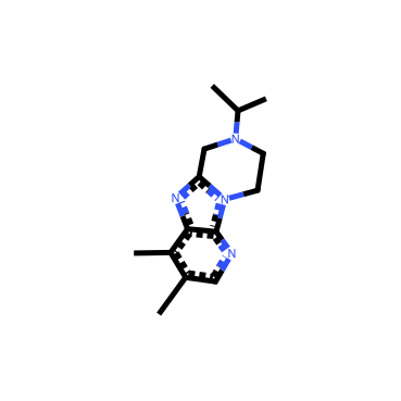 Cc1cnc2c(nc3n2CCN(C(C)C)C3)c1C